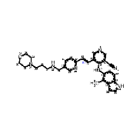 Cc1c(Nc2c(C#N)cncc2/C=C/c2ccc(CNCCCN3CCOCC3)cn2)ccc2[nH]ccc12